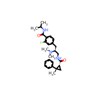 CC(C)NC(=O)c1ccc(C[C@@H](CNC(=O)[C@@H]2C[C@]2(C)c2ccccc2)N(C)C)cc1F